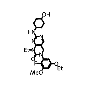 CCOc1cc(OC)c(F)c(N2Cc3cnc(NC4CCC(O)CC4)nc3N(CC)C2=O)c1